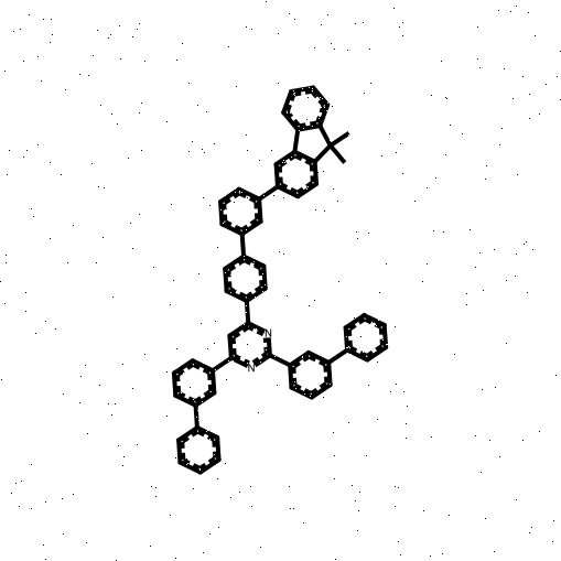 CC1(C)c2ccccc2-c2cc(-c3cccc(-c4ccc(-c5cc(-c6cccc(-c7ccccc7)c6)nc(-c6cccc(-c7ccccc7)c6)n5)cc4)c3)ccc21